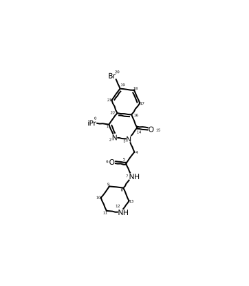 CC(C)c1nn(CC(=O)NC2CCCNC2)c(=O)c2ccc(Br)cc12